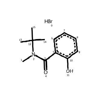 Br.CN(C(=O)c1ccccc1O)C(C)(C)C